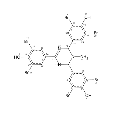 NN1C(c2cc(Br)c(O)c(Br)c2)=NC(c2cc(Br)c(O)c(Br)c2)=NC1c1cc(Br)c(O)c(Br)c1